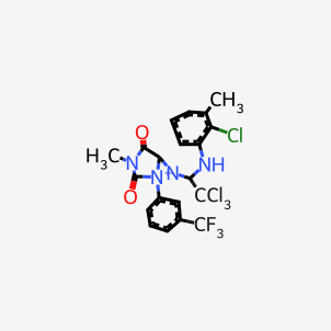 Cc1cccc(NC(N2C3C(=O)N(C)C(=O)[N+]32c2cccc(C(F)(F)F)c2)C(Cl)(Cl)Cl)c1Cl